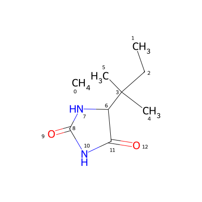 C.CCC(C)(C)C1NC(=O)NC1=O